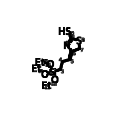 CCO[Si](CCC=C1CSC(S)=N1)(OCC)OCC